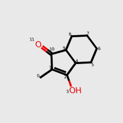 CC1=C(O)C2CCCCC2C1=O